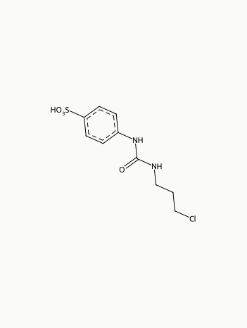 O=C(NCCCCl)Nc1ccc(S(=O)(=O)O)cc1